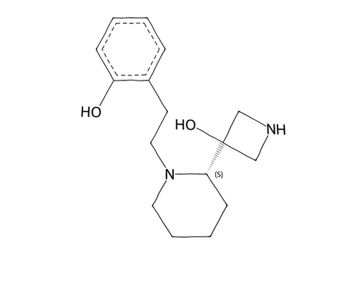 Oc1ccccc1CCN1CCCC[C@H]1C1(O)CNC1